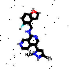 Cc1cc(-c2cnc(NCc3c(F)ccc4c3CCO4)c3cnccc23)n(C)n1